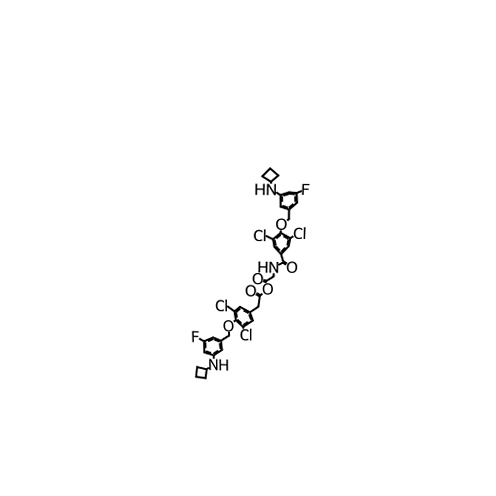 O=C(CNC(=O)c1cc(Cl)c(OCc2cc(F)cc(NC3CCC3)c2)c(Cl)c1)OC(=O)Cc1cc(Cl)c(OCc2cc(F)cc(NC3CCC3)c2)c(Cl)c1